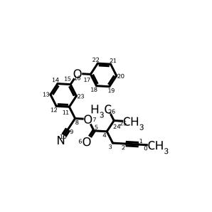 CC#CCC(C(=O)OC(C#N)c1cccc(Oc2ccccc2)c1)C(C)C